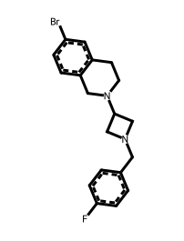 Fc1ccc(CN2CC(N3CCc4cc(Br)ccc4C3)C2)cc1